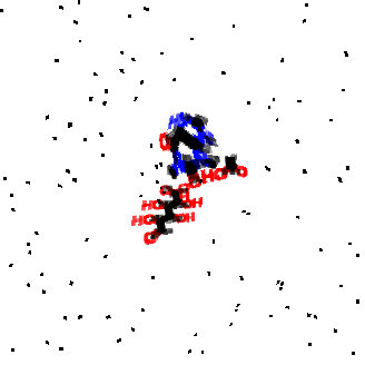 CC(=O)O.Cn1c(=O)c2[nH]cnc2n(C)c1=O.O=CC(O)C(O)C(O)C(O)C(=O)O